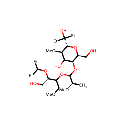 CCC(CC)O[C@@H](CO)C(COC)O[C@@H](O[C@H]1C(O)C(OC)[C@H](C(O)(CC)CC)O[C@H]1CO)[C@H](C)OC